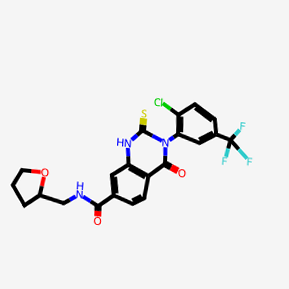 O=C(NCC1CCCO1)c1ccc2c(=O)n(-c3cc(C(F)(F)F)ccc3Cl)c(=S)[nH]c2c1